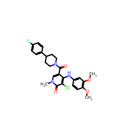 COc1ccc(Nc2c(C(=O)N3CCC(c4ccc(F)cc4)CC3)cn(C)c(=O)c2Cl)cc1OC